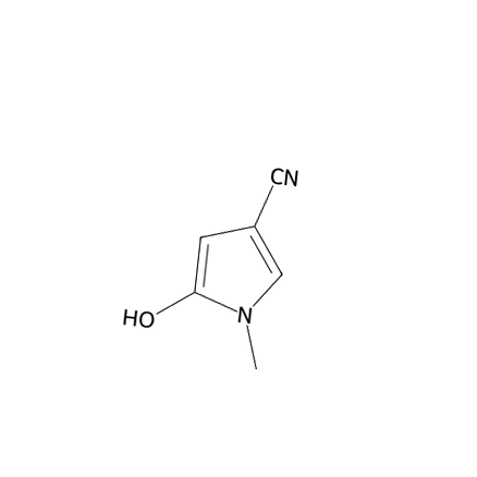 Cn1cc(C#N)cc1O